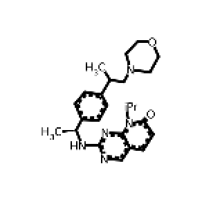 CC(CN1CCOCC1)c1ccc([C@H](C)Nc2ncc3ccc(=O)n(C(C)C)c3n2)cc1